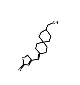 O=C1C=C(C=C2CCC3(CC2)CCC(CO)CC3)CO1